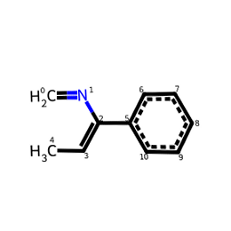 C=N/C(=C\C)c1ccccc1